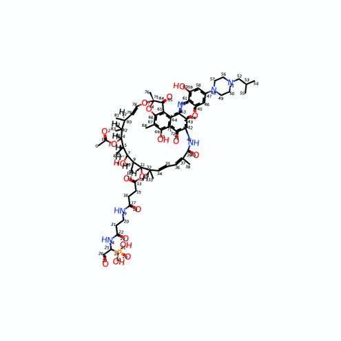 CC(=O)O[C@H]1[C@H](C)[C@H](O)[C@H](C)[C@@H](OC(=O)CCC(=O)NCCC(=O)NC(C=O)P(=O)(O)O)[C@@H](C)/C=C/C=C(/C)C(=O)Nc2c3oc4cc(N5CCN(CC(C)C)CC5)cc(O)c4nc-3c3c4c(c(C)c(O)c3c2=O)O[C@](C)(O/C=C/[C@H](C)[C@H]1C)C4=O